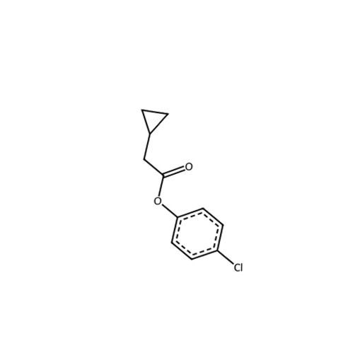 O=C(CC1CC1)Oc1ccc(Cl)cc1